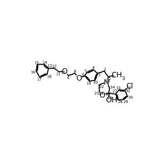 CC(Cc1ccc(OCCOCCc2ccccc2)cc1)N1CCOC(O)(c2cccc(Cl)c2)C1